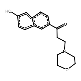 O=C(CCN1CCOCC1)c1ccc2cc(O)ccc2c1